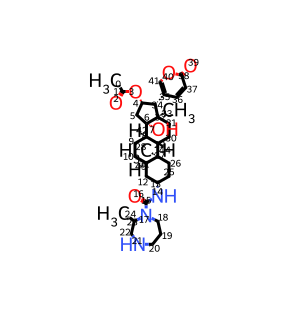 CC(=O)O[C@H]1C[C@]2(O)[C@@H]3CC[C@@H]4C[C@@H](NC(=O)N5CCCNCC5C)CC[C@]4(C)[C@H]3CC[C@]2(C)[C@H]1c1ccc(=O)oc1